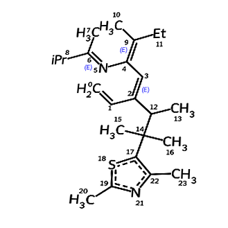 C=C\C(=C/C(/N=C(\C)C(C)C)=C(/C)CC)C(C)C(C)(C)c1sc(C)nc1C